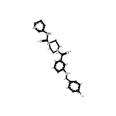 O=C(Nc1cccnc1)N1CCN(C(=O)c2cccc(OCc3ccc(F)cc3)c2)CC1